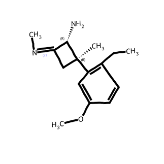 CCc1ccc(OC)cc1[C@@]1(C)C/C(=N/C)[C@@H]1N